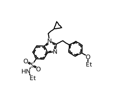 CCNS(=O)(=O)c1ccc2c(c1)nc(Cc1ccc(OCC)cc1)n2CC1CC1